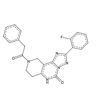 O=C(Cc1ccccc1)N1CCc2[nH]c(=O)n3nc(-c4ccccc4F)nc3c2C1